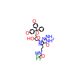 COc1ccc(C(OCC2O[C@@H](n3nc(CCCNC(=O)C(F)(F)F)c4c(=O)[nH]c(N)nc43)CC2O)(c2ccccc2)c2ccc(OC)cc2)cc1